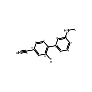 CNc1cccc(-c2ccc(C#N)cc2F)c1